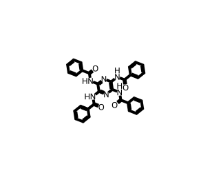 O=C(Nc1nc(NC(=O)c2ccccc2)c(NC(=O)c2ccccc2)nc1NC(=O)c1ccccc1)c1ccccc1